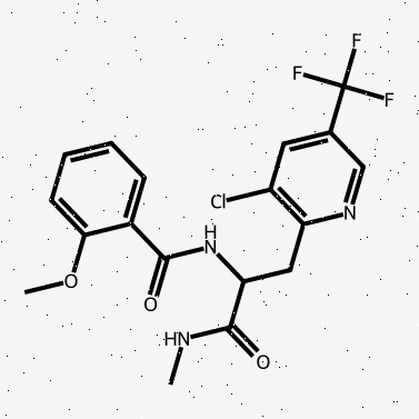 CNC(=O)C(Cc1ncc(C(F)(F)F)cc1Cl)NC(=O)c1ccccc1OC